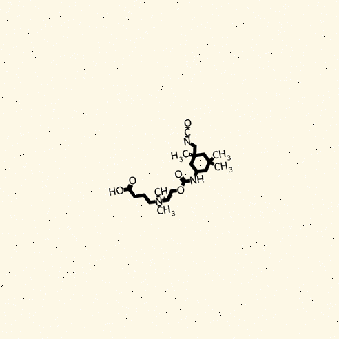 CC1(C)CC(NC(=O)OCC[N+](C)(C)CCCC(=O)O)CC(C)(CN=C=O)C1